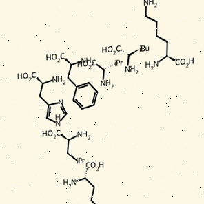 CC(C)C[C@H](N)C(=O)O.CC(C)[C@H](N)C(=O)O.CC[C@H](C)[C@H](N)C(=O)O.CSCC[C@H](N)C(=O)O.NCCCC[C@H](N)C(=O)O.N[C@@H](Cc1c[nH]cn1)C(=O)O.N[C@@H](Cc1ccccc1)C(=O)O